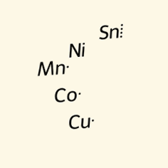 [Co].[Cu].[Mn].[Ni].[Sn]